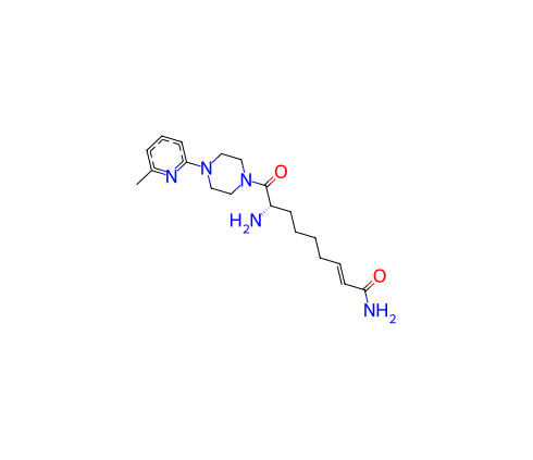 Cc1cccc(N2CCN(C(=O)[C@@H](N)CCCCC=CC(N)=O)CC2)n1